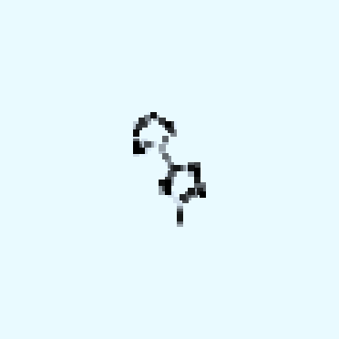 Cc1nsc(-c2nccs2)n1